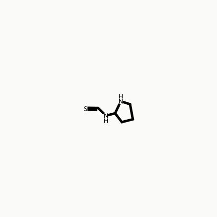 S=[C]NC1CCCN1